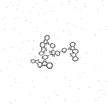 c1cc(-c2nc(-c3cccc(-n4c5ccccc5c5ccc6c7ccccc7sc6c54)c3)c3cc(-c4ccc(-n5c6ccccc6c6ccc7c8ccccc8sc7c65)cc4)ccc3n2)cc(-n2c3ccccc3c3ccc4c5ccccc5sc4c32)c1